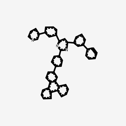 c1cccc(-c2cccc(-c3cc(-c4cccc(-c5cccnc5)c4)nc(-c4ccc(-c5ccc6c7ccccc7c7ccccc7c6c5)cc4)n3)c2)c#1